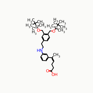 C/C(=C/CCC(=O)O)c1cccc(NCCc2ccc(CO[Si](C)(C)C(C)(C)C)c(CO[Si](C)(C)C(C)(C)C)c2)c1